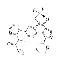 CC(C(N)=O)c1ncccc1-c1ccc2c3c(cnn3C3CCCCO3)c(=O)n(CC(F)(F)F)c2c1